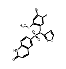 COc1cc(Br)c(F)cc1N(c1ccon1)S(=O)(=O)c1ccc2[nH]c(=O)ccc2c1